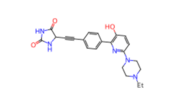 CCN1CCN(c2ccc(O)c(-c3ccc(C#CC4NC(=O)NC4=O)cc3)n2)CC1